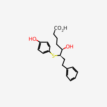 O=C(O)CCC[C@@H](O)[C@@H](CCc1ccccc1)Sc1ccc(O)cc1